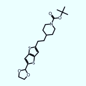 CC(C)(C)OC(=O)N1CCC(CCc2cc3sc(C4OCCO4)cc3s2)CC1